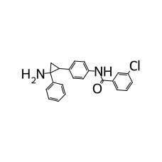 NC1(c2ccccc2)CC1c1ccc(NC(=O)c2cccc(Cl)c2)cc1